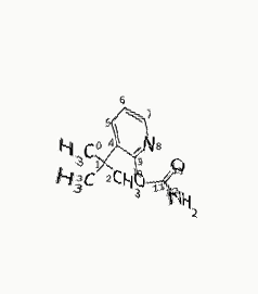 CC(C)(C)c1cccnc1OC(N)=O